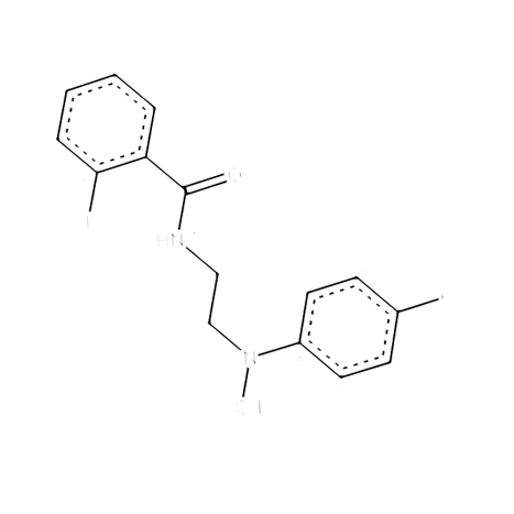 CN(CCNC(=O)c1ccccc1I)c1ccc(Cl)cc1